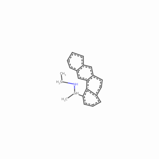 C[SiH2]N[SiH](C)c1cccc2ccc3cc4ccccc4cc3c12